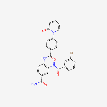 NC(=O)c1ccc(NC(=O)c2ccc(-n3ccccc3=O)cc2)c(NC(=O)c2cccc(Br)c2)c1